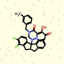 Cc1cccc(CN2CN(C34c5ccccc5CC3Cc3c4ccc(F)c3F)n3ccc(=O)c(O)c3C2=O)c1